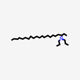 CCCCCCCCCCCCCCCCCCC(CC)N(CCC)CCC